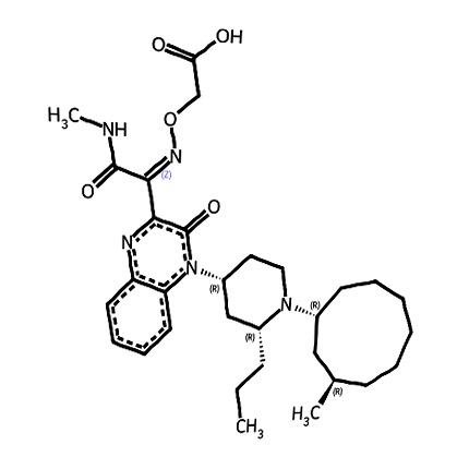 CCC[C@@H]1C[C@H](n2c(=O)c(/C(=N/OCC(=O)O)C(=O)NC)nc3ccccc32)CCN1[C@@H]1CCCCCC[C@@H](C)C1